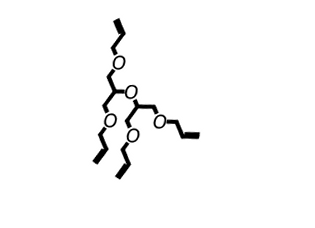 C=CCOCC(COCC=C)OC(COCC=C)COCC=C